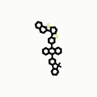 CC1(C)c2ccccc2-c2ccc(-c3c4ccccc4c(-c4ccc5c(c4)sc4ccc6sc7c8ccccc8ccc7c6c45)c4ccccc34)cc21